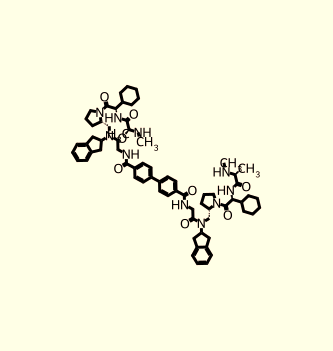 CN[C@@H](C)C(=O)N[C@H](C(=O)N1CCC[C@H]1CN(C(=O)CNC(=O)c1ccc(-c2ccc(C(=O)NCC(=O)N(C[C@@H]3CCCN3C(=O)[C@@H](NC(=O)[C@H](C)NC)C3CCCCC3)C3Cc4ccccc4C3)cc2)cc1)C1Cc2ccccc2C1)C1CCCCC1